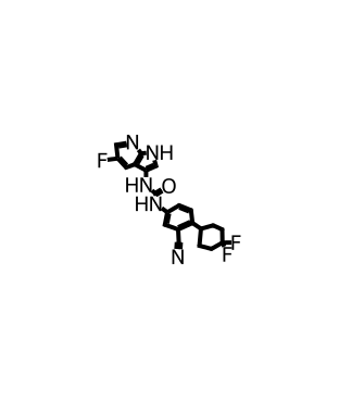 N#Cc1cc(NC(=O)Nc2c[nH]c3ncc(F)cc23)ccc1C1CCC(F)(F)CC1